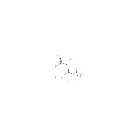 CCP(=O)(O)C(C)CC(=O)Cl.Cl